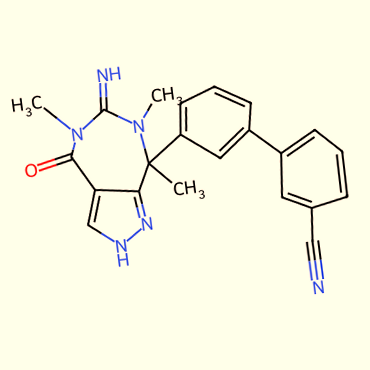 CN1C(=N)N(C)C(C)(c2cccc(-c3cccc(C#N)c3)c2)c2n[nH]cc2C1=O